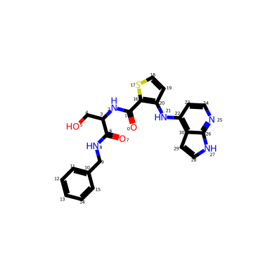 O=C(NC(CO)C(=O)NCc1ccccc1)c1sccc1Nc1ccnc2[nH]ccc12